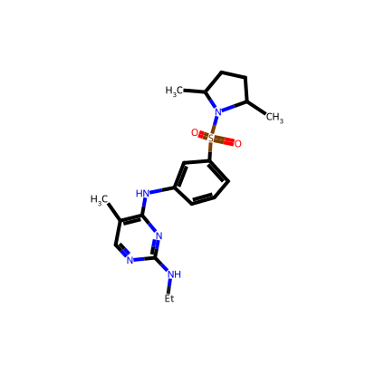 CCNc1ncc(C)c(Nc2cccc(S(=O)(=O)N3C(C)CCC3C)c2)n1